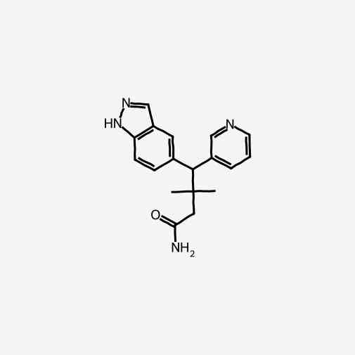 CC(C)(CC(N)=O)C(c1cccnc1)c1ccc2[nH]ncc2c1